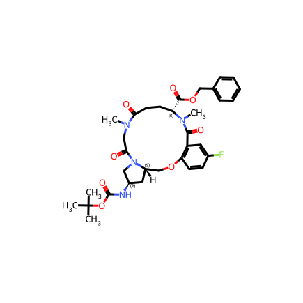 CN1CC(=O)N2C[C@H](NC(=O)OC(C)(C)C)C[C@H]2COc2ccc(F)cc2C(=O)N(C)[C@@H](C(=O)OCc2ccccc2)CCC1=O